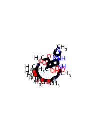 C/C1=C/C=C/[C@H](C)[C@H](O)[C@@H](C)[C@@H](O)[C@@H](C)[C@H](C)[C@H](C)[C@@H](C)/C=C/O[C@@]2(C)Oc3c(C)c(O)c4c(c3C2=O)C2=NC3(CCN(C)CC3)NC2=C(NC1=O)C4=O